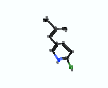 N#CC(C#N)=Cc1ccc(Cl)nc1